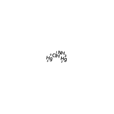 Cl.N.[Hg].[Hg]